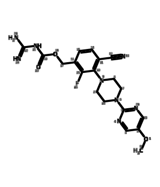 COc1cnc(N2CCN(c3c(C#N)ccc(COC(=O)NC(=N)N)c3F)CC2)nc1